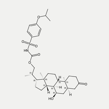 CC(C)Oc1ccc(S(=O)(=O)NC(=O)OC[C@@H](C)[C@H]2CC[C@H]3[C@@H]4[C@H](O)C[C@@H]5CC(=O)CC[C@]5(C)[C@H]4CC[C@]23C)cc1